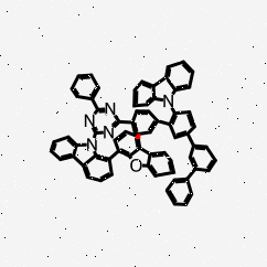 c1ccc(-c2cccc(-c3ccc(-n4c5ccccc5c5ccccc54)c(-c4ccc(-c5nc(-c6ccccc6)nc(-n6c7ccccc7c7cccc(-c8cccc9c8oc8ccccc89)c76)n5)cc4)c3)c2)cc1